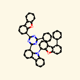 c1ccc(-c2nc(-c3cccc4c3oc3ccccc34)nc(-c3cccc4c5ccccc5n(-c5cccc6c5oc5cccc(-c7ccccc7)c56)c34)n2)cc1